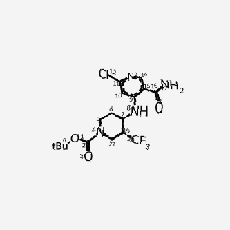 CC(C)(C)OC(=O)N1CC[C@@H](Nc2cc(Cl)ncc2C(N)=O)[C@@H](C(F)(F)F)C1